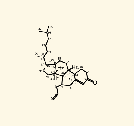 C=CCC1CC2=CC(=O)CC[C@]2(C)[C@H]2CC[C@]3(C)[C@@H]([C@H](C)CCCC(C)C)CC[C@H]3[C@H]12